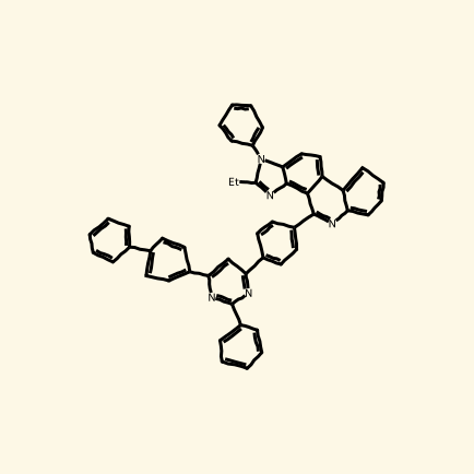 CCc1nc2c3c(-c4ccc(-c5cc(-c6ccc(-c7ccccc7)cc6)nc(-c6ccccc6)n5)cc4)nc4ccccc4c3ccc2n1-c1ccccc1